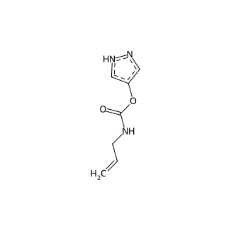 C=CCNC(=O)Oc1cn[nH]c1